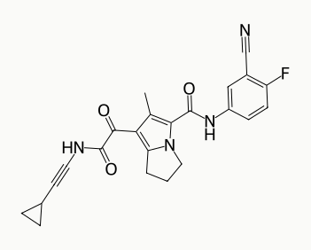 Cc1c(C(=O)C(=O)NC#CC2CC2)c2n(c1C(=O)Nc1ccc(F)c(C#N)c1)CCC2